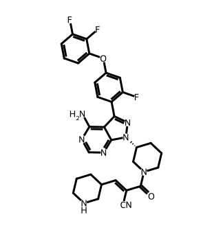 N#CC(=CC1CCCNC1)C(=O)N1CCC[C@@H](n2nc(-c3ccc(Oc4cccc(F)c4F)cc3F)c3c(N)ncnc32)C1